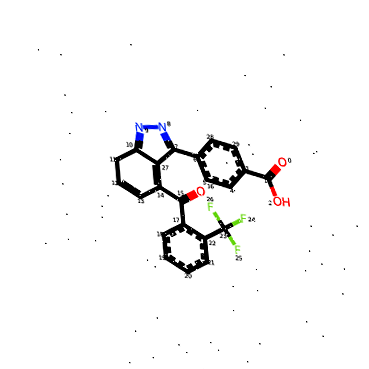 O=C(O)c1ccc(C2=NN=C3CC=CC(C(=O)c4ccccc4C(F)(F)F)=C32)cc1